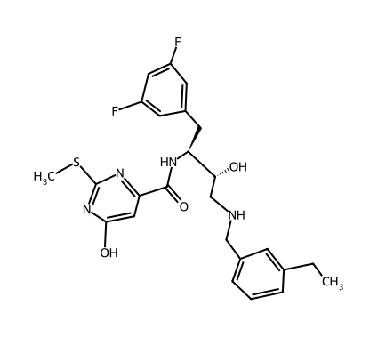 CCc1cccc(CNC[C@@H](O)[C@H](Cc2cc(F)cc(F)c2)NC(=O)c2cc(O)nc(SC)n2)c1